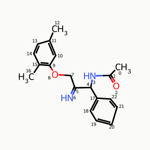 CC(=O)NC(C(=N)COc1cc(C)ccc1C)c1ccccc1